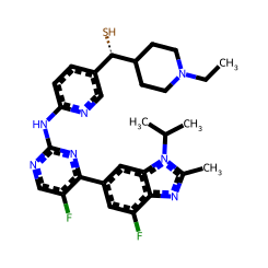 CCN1CCC([C@@H](S)c2ccc(Nc3ncc(F)c(-c4cc(F)c5nc(C)n(C(C)C)c5c4)n3)nc2)CC1